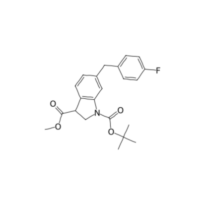 COC(=O)C1CN(C(=O)OC(C)(C)C)c2cc(Cc3ccc(F)cc3)ccc21